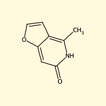 Cc1[nH]c(=O)cc2occc12